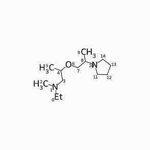 CCN(C)CC(C)OCC(C)N1CCCC1